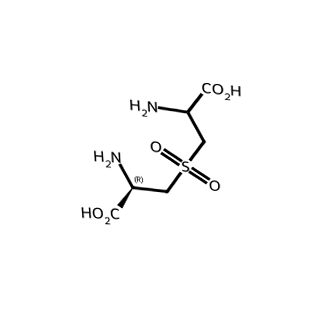 NC(CS(=O)(=O)C[C@H](N)C(=O)O)C(=O)O